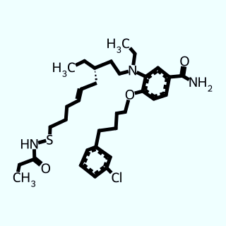 CCC(=O)NSCCC/C=C/C[C@H](CC)CCN(CC)c1cc(C(N)=O)ccc1OCCCCc1cccc(Cl)c1